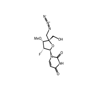 CO[C@H]1[C@@H](F)[C@H](n2ccc(=O)[nH]c2=O)O[C@@]1(CO)CN=[N+]=[N-]